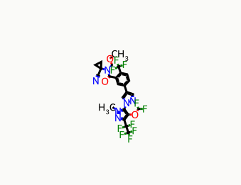 COCN(C(=O)c1cc(-c2cnn(-c3c(OC(F)F)c(C(F)(F)C(F)(F)F)nn3C)c2)ccc1C(F)(F)F)C1(C#N)CC1